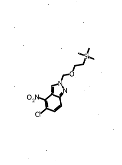 C[Si](C)(C)CCOCn1cc2c([N+](=O)[O-])c(Cl)ccc2n1